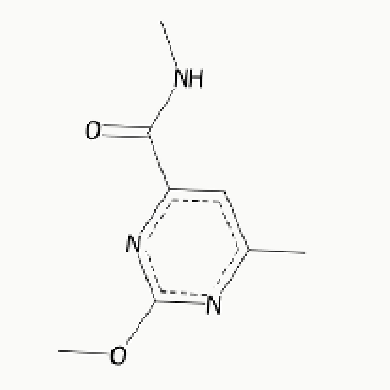 CNC(=O)c1cc(C)nc(OC)n1